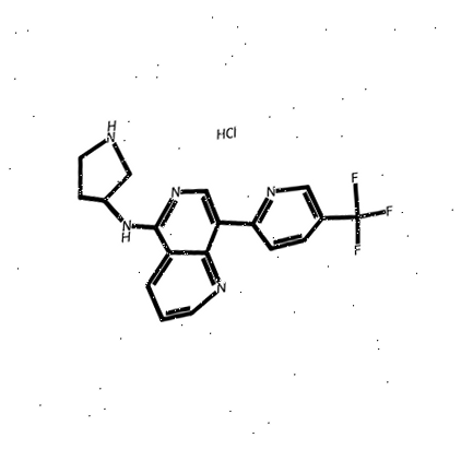 Cl.FC(F)(F)c1ccc(-c2cnc(NC3CCNC3)c3cccnc23)nc1